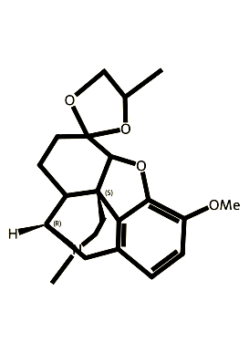 COc1ccc2c3c1OC1C4(CCC5[C@@H](C2)N(C)CC[C@@]351)OCC(C)O4